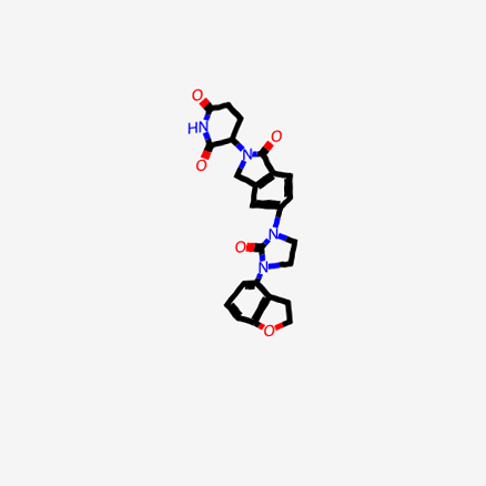 O=C1CCC(N2Cc3cc(N4CCN(c5cccc6c5CCO6)C4=O)ccc3C2=O)C(=O)N1